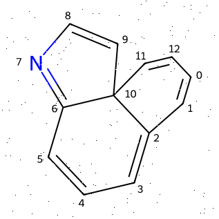 C1=CC2=CC=CC3=NC=CC23C=C1